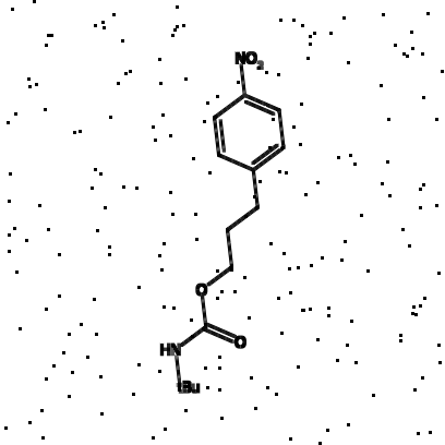 CC(C)(C)NC(=O)OCCCc1ccc([N+](=O)[O-])cc1